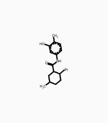 Cc1ccc(NC(=O)C2CC(C)CCC2C(C)C)cc1O